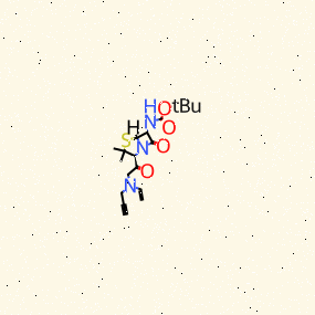 C#CCN(C=C)CC(=O)[C@@H]1N2C(=O)[C@@H](NC(=O)OC(C)(C)C)[C@H]2SC1(C)C